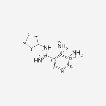 N=C(NC1CCCC1)c1cccc(N)c1N